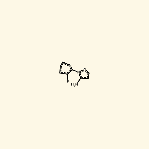 Nc1ccnn1-c1ncccc1F